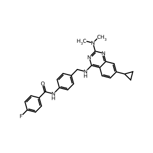 CN(C)c1nc(NCc2ccc(NC(=O)c3ccc(F)cc3)cc2)c2ccc(C3CC3)cc2n1